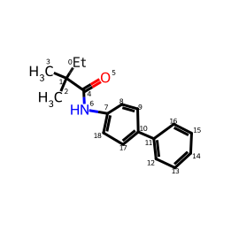 CCC(C)(C)C(=O)Nc1ccc(-c2ccccc2)cc1